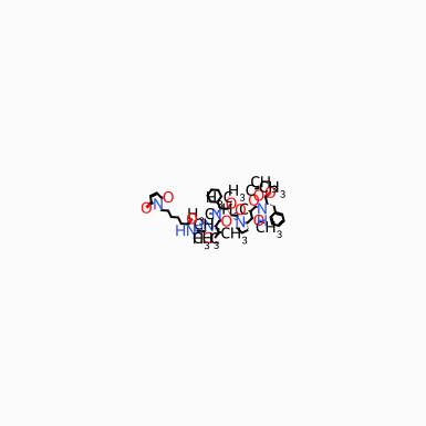 CO[C@H]([C@@H](C)C(=O)N[C@@H](Cc1ccccc1)C(=O)OC(C)(C)C)[C@@H]1CCCN1C(=O)C[C@@H](OC)[C@H](C1CCCCC1)N(C)C(=O)[C@@H](NC(=O)C(C)(C)NC(=O)CCCCCN1C(=O)C=CC1=O)C(C)C